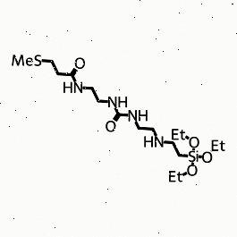 CCO[Si](CCNCCNC(=O)NCCNC(=O)CCSC)(OCC)OCC